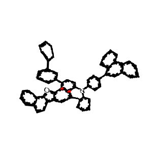 C1=CCCC(c2cccc(-c3ccc(N(c4ccc(-c5cc6ccccc6c6ccccc56)cc4)c4ccccc4-c4ccc5oc6c7ccccc7ccc6c5c4)cc3)c2)=C1